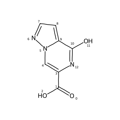 O=C(O)c1cn2nccc2c(O)n1